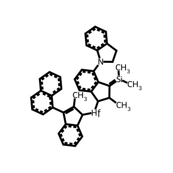 CC1=C(c2cccc3ccccc23)c2ccccc2[CH]1[Hf][CH]1c2cccc(N3CCc4ccccc43)c2C(=[Si](C)C)C1C